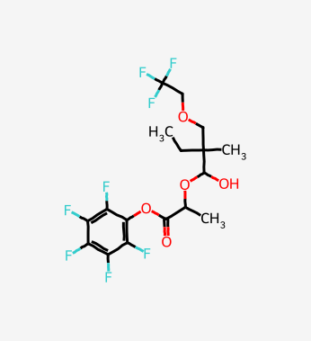 CCC(C)(COCC(F)(F)F)C(O)OC(C)C(=O)Oc1c(F)c(F)c(F)c(F)c1F